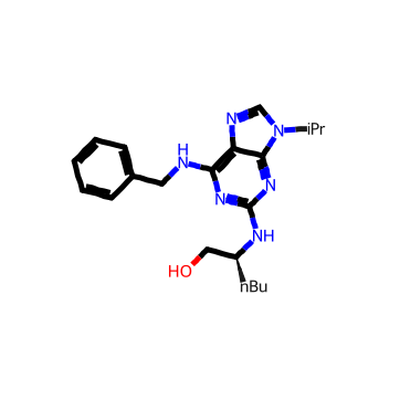 CCCC[C@@H](CO)Nc1nc(NCc2ccccc2)c2ncn(C(C)C)c2n1